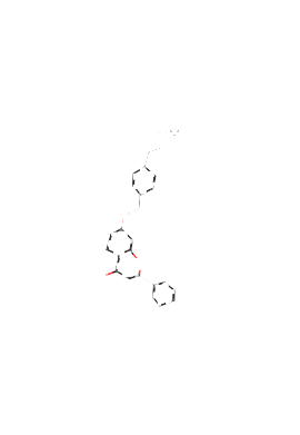 CO[C@@H](Cc1ccc(COc2ccc3c(=O)cc(-c4ccccc4)oc3c2)cc1)C(=O)O